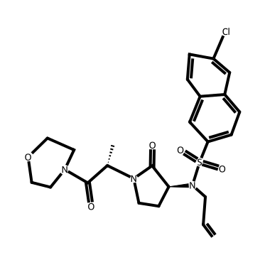 C=CCN([C@H]1CCN([C@@H](C)C(=O)N2CCOCC2)C1=O)S(=O)(=O)c1ccc2cc(Cl)ccc2c1